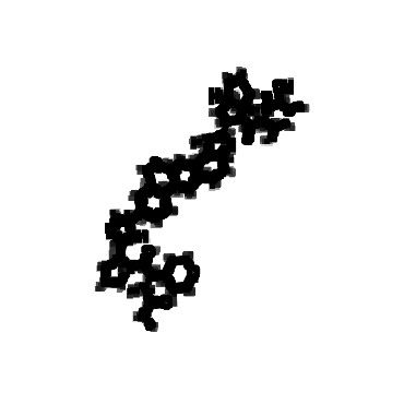 COC(=O)N[C@H](C(=O)N1CCCC1c1ncc(-c2ccc3c(c2)COc2cc4c(ccc5nc([C@@H]6C[C@@H]7CCC[C@@H]7N6C(=O)[C@@H](NC(O)OC)C(C)C)[nH]c54)cc2-3)[nH]1)C1CCOCC1